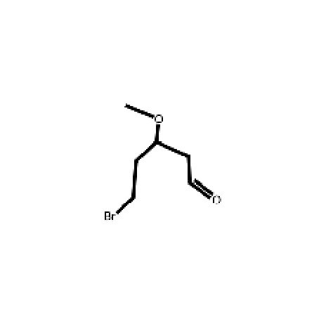 COC(CC=O)CCBr